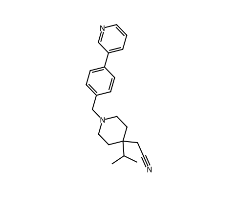 CC(C)C1(CC#N)CCN(Cc2ccc(-c3cccnc3)cc2)CC1